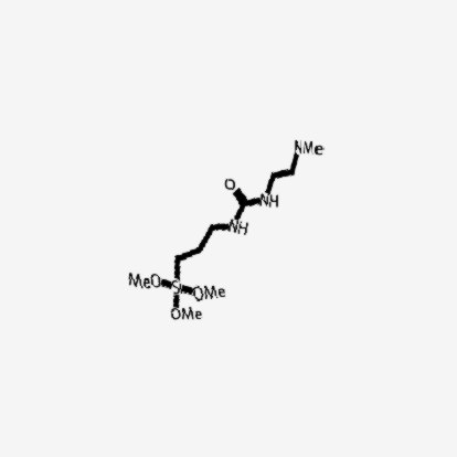 CNCCNC(=O)NCCC[Si](OC)(OC)OC